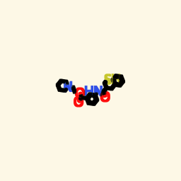 O=C(OCCN1CCCCC1)c1cccc(NC(=O)C(CS)Cc2ccccc2)c1